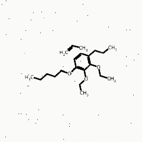 C=CC.CCCCCOc1ccc(CCC)c(OCC)c1OCC